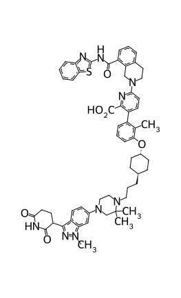 Cc1c(O[C@H]2CC[C@H](CCCN3CCN(c4ccc5c(C6CCC(=O)NC6=O)nn(C)c5c4)CC3(C)C)CC2)cccc1-c1ccc(N2CCc3cccc(C(=O)Nc4nc5ccccc5s4)c3C2)nc1C(=O)O